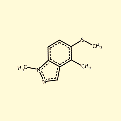 CSc1ccc2c(cnn2C)c1C